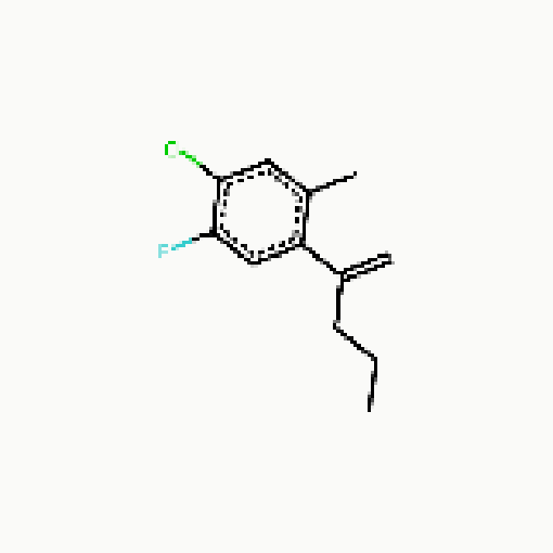 C=C(CCC)c1cc(F)c(Cl)cc1C